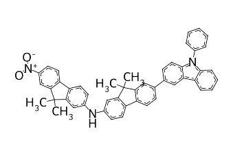 CC1(C)c2cc(Nc3ccc4c(c3)C(C)(C)c3cc([N+](=O)[O-])ccc3-4)ccc2-c2ccc(-c3ccc4c(c3)c3ccccc3n4-c3ccccc3)cc21